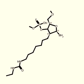 B[C@@H]1O[C@H](COC)C(OP(O)(=S)OC)[C@@H]1CCCCCCCNC(=O)NCC